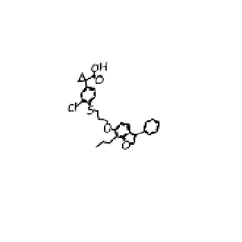 CCCc1c(OCCCSc2ccc(C3(C(=O)O)CC3)cc2Cl)ccc2c(-c3ccccc3)coc12